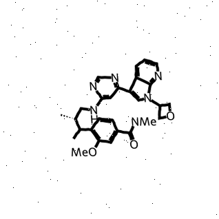 CNC(=O)c1ccc(C(C)[C@H](C)CNc2cc(-c3cn(C4COC4)c4ncccc34)ncn2)c(OC)c1